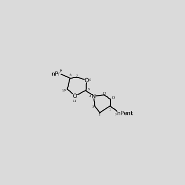 CCCCCC1CCN(C2OCC(CCC)CO2)CC1